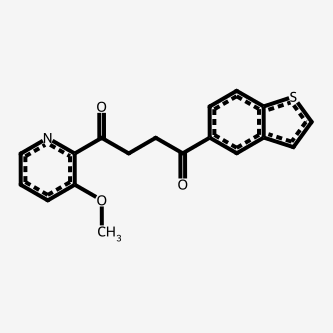 COc1cccnc1C(=O)CCC(=O)c1ccc2sccc2c1